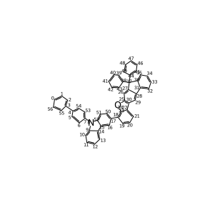 c1ccc(-c2ccc(-n3c4ccccc4c4cc(-c5cccc6c5oc5cc7c(cc56)-c5ccccc5C7(c5ccccc5)c5ccccc5)ccc43)cc2)cc1